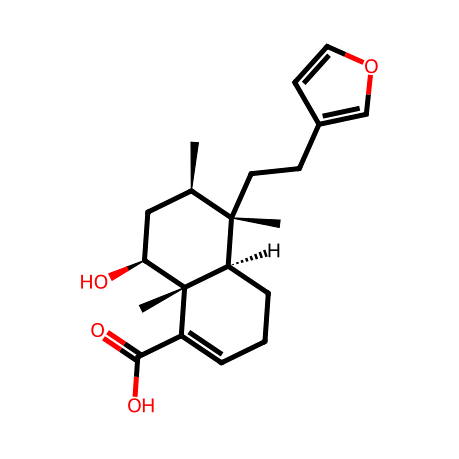 C[C@@H]1C[C@H](O)[C@@]2(C)C(C(=O)O)=CCC[C@@H]2[C@@]1(C)CCc1ccoc1